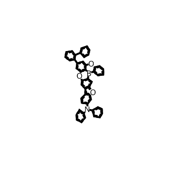 c1ccc(-c2ccccc2-c2cc3c4c(c2)Oc2cc5c(cc2B4c2ccccc2O3)oc2cc(N(c3ccccc3)c3ccccc3)ccc25)cc1